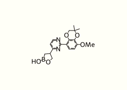 COc1ccc(-c2nccc(C3COB(O)C3)n2)c2c1OC(C)(C)CO2